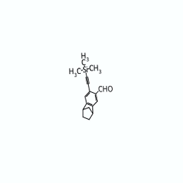 C[Si](C)(C)C#Cc1cc2c(cc1C=O)C1CCC2C1